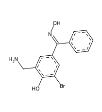 NCc1cc(C(=NO)c2ccccc2)cc(Br)c1O